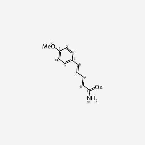 COc1ccc(/C=C/C=C/C(N)=O)cc1